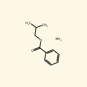 CC(C)COC(=O)c1ccccc1.N